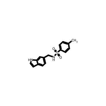 Cc1ccc(S(=O)(=O)NCc2ccc3cc[nH]c3c2)cc1